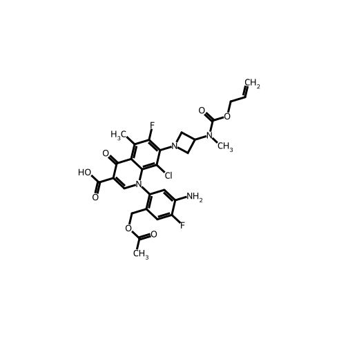 C=CCOC(=O)N(C)C1CN(c2c(F)c(C)c3c(=O)c(C(=O)O)cn(-c4cc(N)c(F)cc4COC(C)=O)c3c2Cl)C1